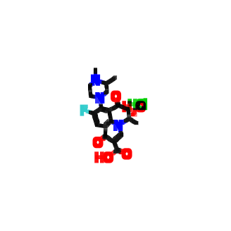 CC1CN(c2c(F)cc3c(=O)c(C(=O)O)cn4c3c2C(=O)CC4C)CCN1C.Cl.O